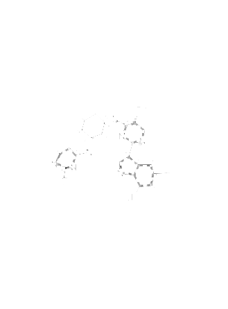 Fc1cc(F)c2[nH]cc(-c3ncc(F)c(N[C@H]4CCC[C@@H](Nc5ccnc(Cl)n5)C4)n3)c2c1